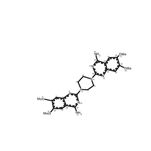 COc1cc2nc(N3CCN(c4nc(N)c5cc(OC)c(OC)cc5n4)CC3)nc(N)c2cc1OC